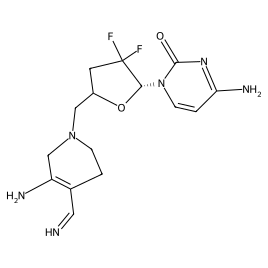 N=CC1=C(N)CN(CC2CC(F)(F)[C@H](n3ccc(N)nc3=O)O2)CC1